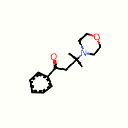 CC(C)(CC(=O)c1ccccc1)N1CCOCC1